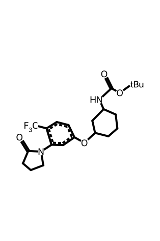 CC(C)(C)OC(=O)NC1CCCC(Oc2ccc(C(F)(F)F)c(N3CCCC3=O)c2)C1